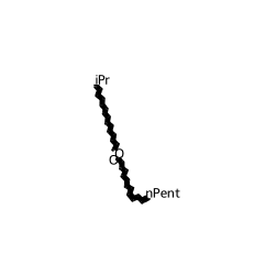 CCCCC/C=C\C/C=C\CCCCCCCC(=O)OCCCCCCCCCCCCCCCC(C)C